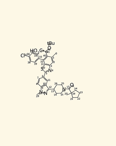 Cc1cc2nc(-c3ccc4c(c3)c(C3CCN(C(=O)C5(C)CCCC5)CC3)nn4C)sc2c(-c2ccc(Cl)cc2)c1[C@H](OC(C)(C)C)C(=O)O